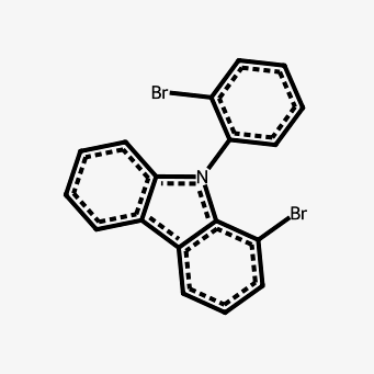 Brc1ccccc1-n1c2ccccc2c2cccc(Br)c21